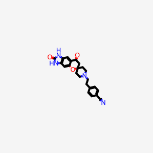 N#Cc1ccc(CCN2CCC3(CC2)CC(=O)c2cc4[nH]c(=O)[nH]c4cc2O3)cc1